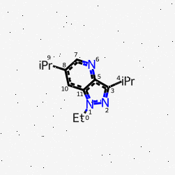 CCn1nc(C(C)C)c2ncc(C(C)C)cc21